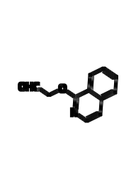 O=CCOc1nccc2ccccc12